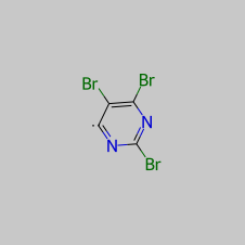 Brc1n[c]c(Br)c(Br)n1